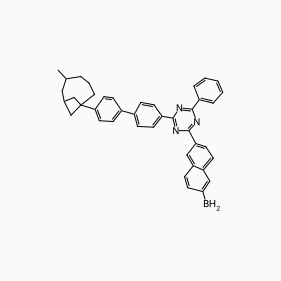 Bc1ccc2cc(-c3nc(-c4ccccc4)nc(-c4ccc(-c5ccc(C67CCCC(C)CC(C6)C7)cc5)cc4)n3)ccc2c1